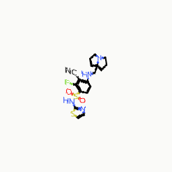 N#Cc1c(NCC23CCCN2CCC3)ccc(S(=O)(=O)Nc2nccs2)c1F